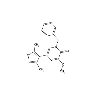 COc1cc(-c2c(C)noc2C)cn(Cc2ccccc2)c1=O